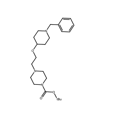 CC(C)(C)OC(=O)N1CCN(CCOC2CCN(Cc3ccccc3)CC2)CC1